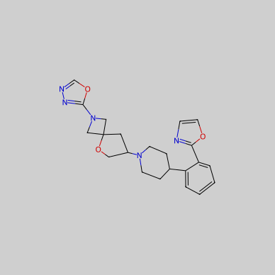 c1ccc(C2CCN(C3COC4(C3)CN(c3nnco3)C4)CC2)c(-c2ncco2)c1